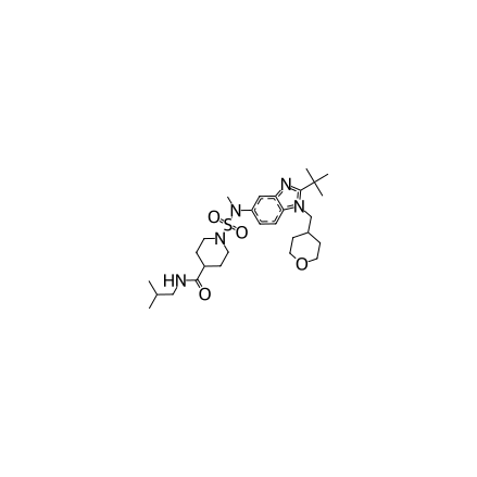 CC(C)CNC(=O)C1CCN(S(=O)(=O)N(C)c2ccc3c(c2)nc(C(C)(C)C)n3CC2CCOCC2)CC1